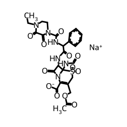 CCN1CCN(C(=O)NC(C(=O)N[C@H]2C(=O)N3C(C(=O)[O-])=C(COC(C)=O)CS(=O)(=O)C23NC=O)c2ccccc2)C(=O)C1=O.[Na+]